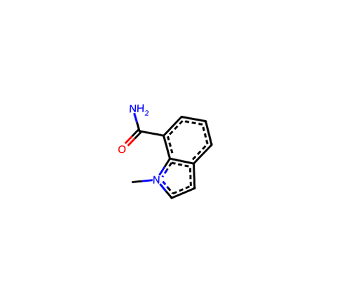 Cn1ccc2cccc(C(N)=O)c21